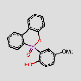 COc1ccc(O)c(P2(=O)Oc3ccccc3-c3ccccc32)c1